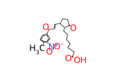 Cc1ccc(C(=O)C=CC2CCC(=O)C2CCCCCCC(=O)O)cc1[N+](=O)[O-]